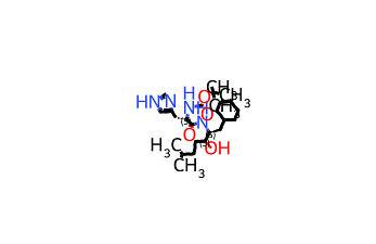 CC(C)CC[C@H](O)[C@H](CC1CCCCC1)NC(=O)[C@H](Cc1c[nH]cn1)NC(=O)OC(C)(C)C